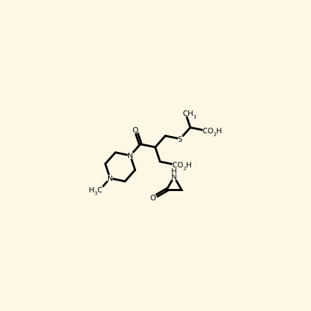 CC(SCC(CC(=O)O)C(=O)N1CCN(C)CC1)C(=O)O.O=C1CN1